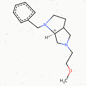 COCCN1CC2CCN(Cc3ccccc3)[C@@H]2C1